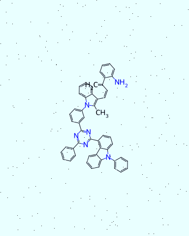 C=C(/C=C\c1c(C)n(-c2cccc(-c3nc(-c4ccccc4)nc(-c4cccc5c4c4ccccc4n5-c4ccccc4)n3)c2)c2ccccc12)c1ccccc1N